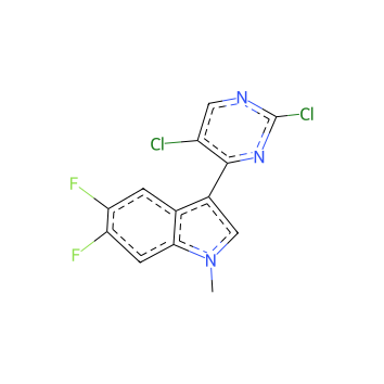 Cn1cc(-c2nc(Cl)ncc2Cl)c2cc(F)c(F)cc21